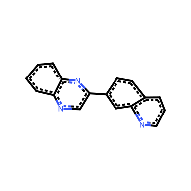 c1cnc2cc(-c3cnc4ccccc4n3)ccc2c1